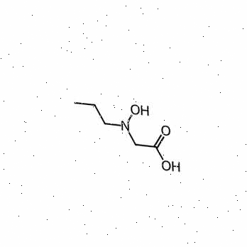 CCCN(O)CC(=O)O